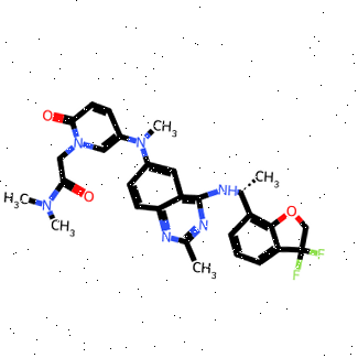 Cc1nc(N[C@H](C)c2cccc3c2OCC3(F)F)c2cc(N(C)c3ccc(=O)n(CC(=O)N(C)C)c3)ccc2n1